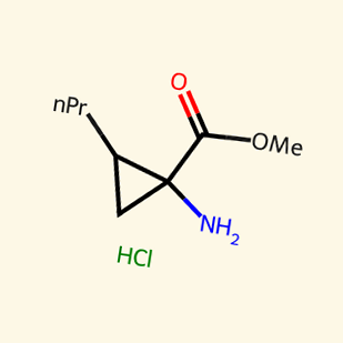 CCCC1CC1(N)C(=O)OC.Cl